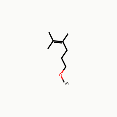 [CH2]CCOCCCC(C)=C(C)C